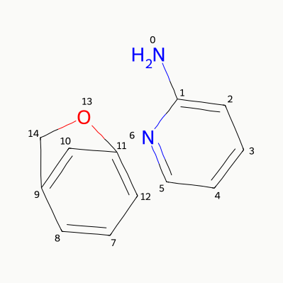 Nc1ccccn1.c1cc2cc(c1)OC2